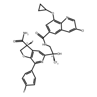 NC(=O)[C@@]1(F)COc2c1cc([C@@](O)(CNC(=O)c1cc(OC3CC3)c3ncc(Cl)cc3c1)C(F)(F)F)nc2-c1ccc(F)cc1